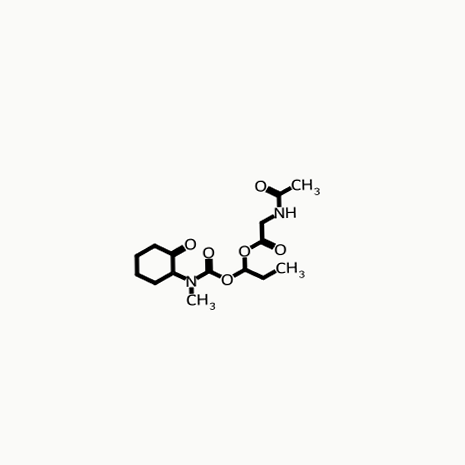 CCC(OC(=O)CNC(C)=O)OC(=O)N(C)C1CCCCC1=O